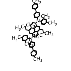 Cc1ccc(-c2ccc(N(c3ccc(C)cc3C)c3ccc4c(CC(C)C)cc5c6c4c3CC(CC(C)C)=C6C=CC5N(c3ccc(-c4ccc(C)cc4)cc3)c3ccc(C)cc3C)cc2)cc1